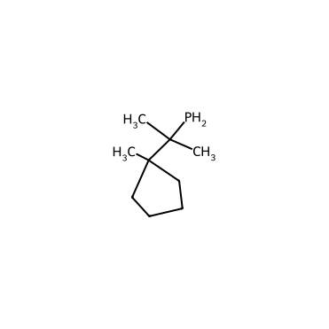 CC(C)(P)C1(C)CCCC1